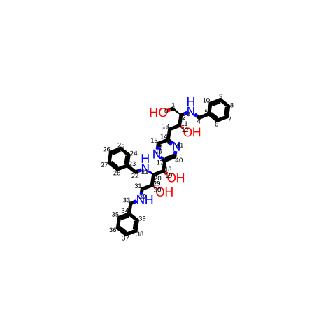 OC[C@@H](NCc1ccccc1)[C@@H](O)Cc1cnc(C(O)[C@H](NCc2ccccc2)[C@@H](O)CNCc2ccccc2)cn1